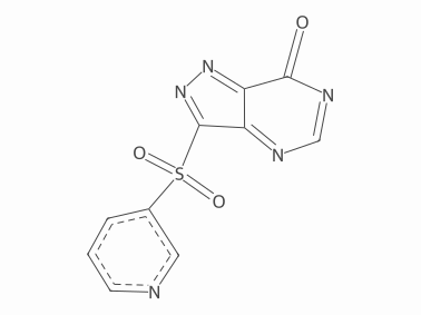 O=C1N=CN=C2C1=NN=C2S(=O)(=O)c1cccnc1